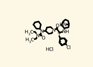 CCN(CC)C(=O)N(C1CCCCC1)C1CCN(C(=O)[C@@H](Cc2ccc(Cl)cc2)NC2CC3CCC(C2)N3)CC1.Cl